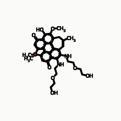 COc1c(O)c2c(=O)cc(OC)c3c4c(OC)cc(=O)c5c(NCCOCCO)c(NCCOCCO)c6c(c(c1CC(C)=C6)c23)c54